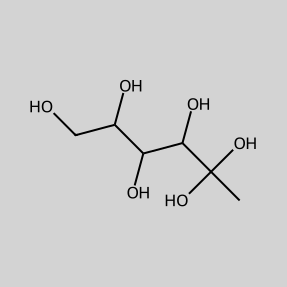 CC(O)(O)C(O)C(O)C(O)CO